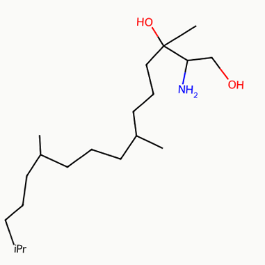 CC(C)CCCC(C)CCCC(C)CCCC(C)(O)C(N)CO